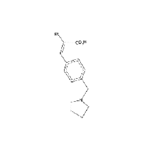 CCC(=Cc1ccc(CN2CCCC2)cc1)C(=O)O